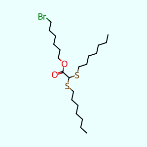 CCCCCCCSC(SCCCCCCC)C(=O)OCCCCCCBr